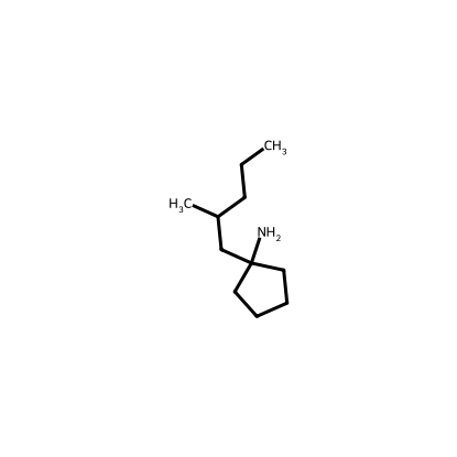 CCCC(C)CC1(N)CCCC1